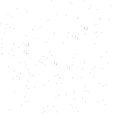 CC(=O)Nc1ccc(C2CN(c3ncc4sc(CN(C)c5ncc(C(=O)NO)cn5)cc4n3)CCO2)cn1